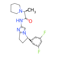 C[C@@H](C(=O)Nc1cn2c(n1)CC[C@@H]2c1cc(F)cc(F)c1)N1CCCCC1